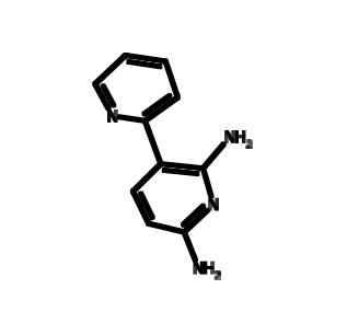 Nc1ccc(-c2ccccn2)c(N)n1